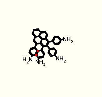 Nc1ccc(-c2c(-c3ccc(N)cc3)c3ccc4cccc5cc(-c6ccc(N)cc6)c(c2-c2ccc(N)cc2)c3c45)cc1